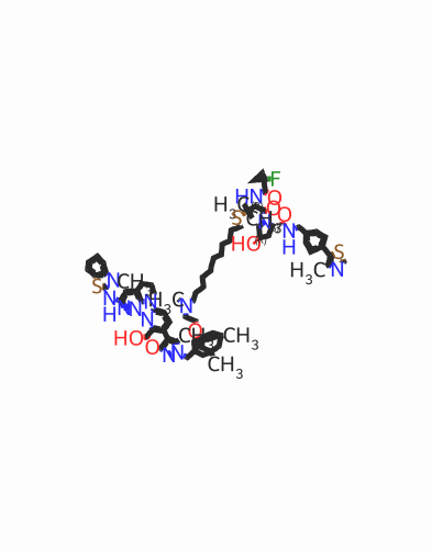 Cc1ncsc1-c1ccc(CNC(=O)[C@@H]2C[C@@H](O)CN2C(=O)[C@@H](NC(=O)C2(F)CC2)C(C)(C)SCCCCCCCCCCCN(C)CCOC23CC4(C)CC(C)(CC(Cn5ncc(-c6ccc(N7CCCc8c7nnc(Nc7nc9ccccc9s7)c8C)nc6C(=O)O)c5C)(C4)C2)C3)cc1